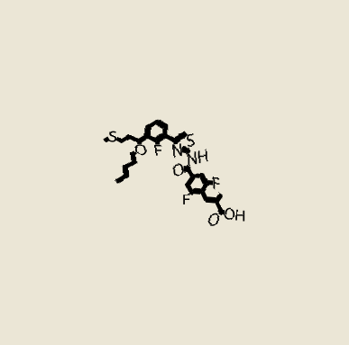 CCCCCOC(CCSC)c1cccc(-c2csc(NC(=O)c3cc(F)c(C=C(C)C(=O)O)c(F)c3)n2)c1F